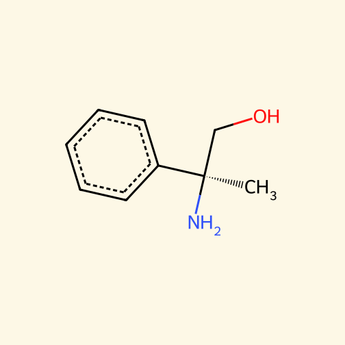 C[C@@](N)(CO)c1ccccc1